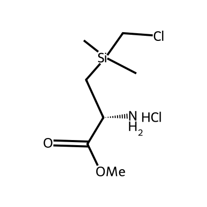 COC(=O)[C@@H](N)C[Si](C)(C)CCl.Cl